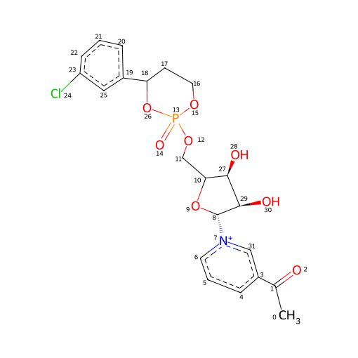 CC(=O)c1ccc[n+]([C@@H]2OC(COP3(=O)OCCC(c4cccc(Cl)c4)O3)[C@@H](O)[C@H]2O)c1